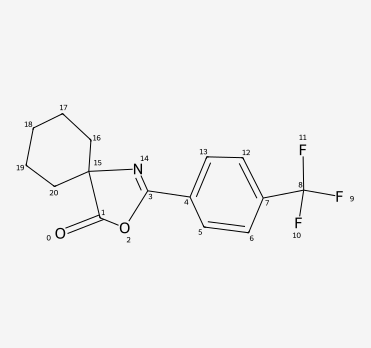 O=C1OC(c2ccc(C(F)(F)F)cc2)=NC12CCCCC2